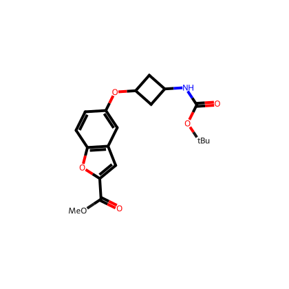 COC(=O)c1cc2cc(OC3CC(NC(=O)OC(C)(C)C)C3)ccc2o1